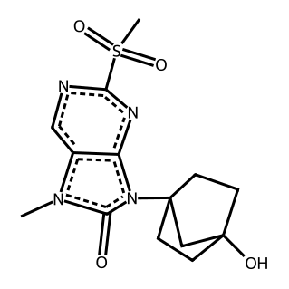 Cn1c(=O)n(C23CCC(O)(CC2)C3)c2nc(S(C)(=O)=O)ncc21